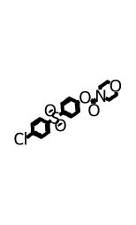 O=C(Oc1ccc(S(=O)(=O)c2ccc(Cl)cc2)cc1)N1CCOCC1